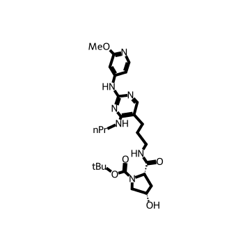 CCCNc1nc(Nc2ccnc(OC)c2)ncc1CCCNC(=O)[C@@H]1C[C@H](O)CN1C(=O)OC(C)(C)C